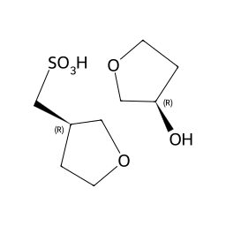 O=S(=O)(O)C[C@@H]1CCOC1.O[C@@H]1CCOC1